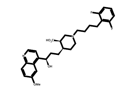 COc1ccc2nccc([C@H](O)CC[C@@H]3CCN(CCCCc4c(F)cccc4F)C[C@@H]3C(=O)O)c2c1